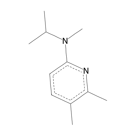 Cc1ccc(N(C)C(C)C)nc1C